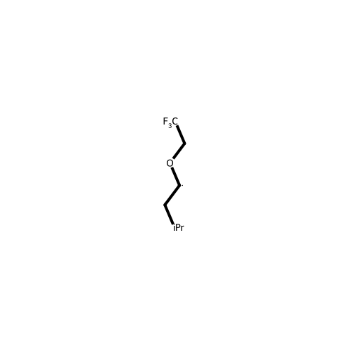 CC(C)C[CH]OCC(F)(F)F